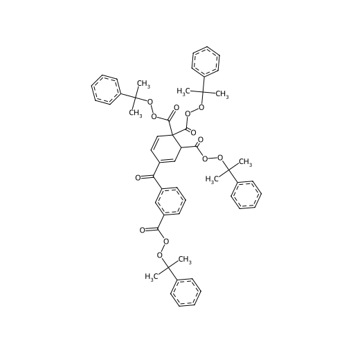 CC(C)(OOC(=O)c1cccc(C(=O)C2=CC(C(=O)OOC(C)(C)c3ccccc3)C(C(=O)OOC(C)(C)c3ccccc3)(C(=O)OOC(C)(C)c3ccccc3)C=C2)c1)c1ccccc1